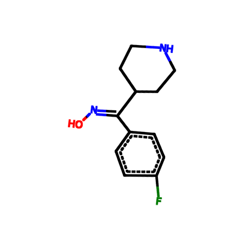 O/N=C(\c1ccc(F)cc1)C1CCNCC1